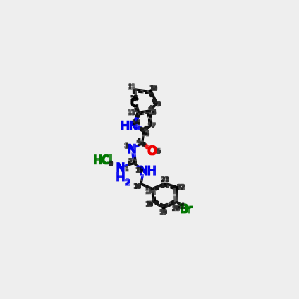 Cl.NC(=NC(=O)c1cc2ccccc2[nH]1)NCc1ccc(Br)cc1